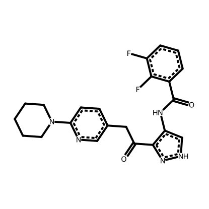 O=C(Nc1c[nH]nc1C(=O)Cc1ccc(N2CCCCC2)nc1)c1cccc(F)c1F